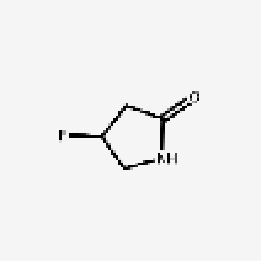 O=C1C[C@H](F)CN1